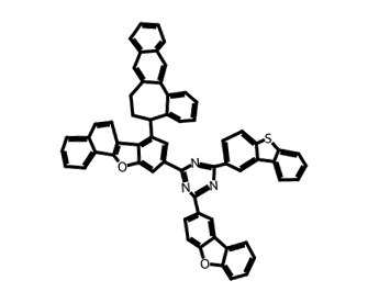 c1ccc2c(c1)-c1cc3ccccc3cc1CCC2c1cc(-c2nc(-c3ccc4oc5ccccc5c4c3)nc(-c3ccc4sc5ccccc5c4c3)n2)cc2oc3c4ccccc4ccc3c12